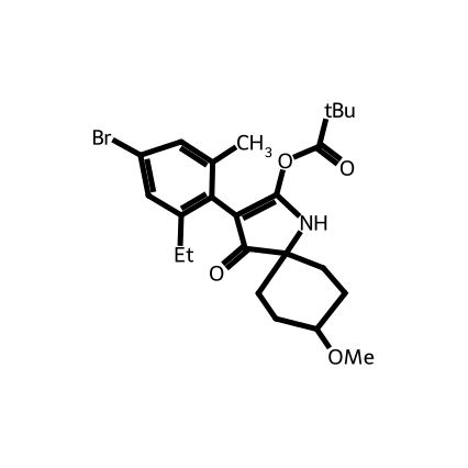 CCc1cc(Br)cc(C)c1C1=C(OC(=O)C(C)(C)C)NC2(CCC(OC)CC2)C1=O